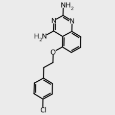 Nc1nc(N)c2c(OCCc3ccc(Cl)cc3)cccc2n1